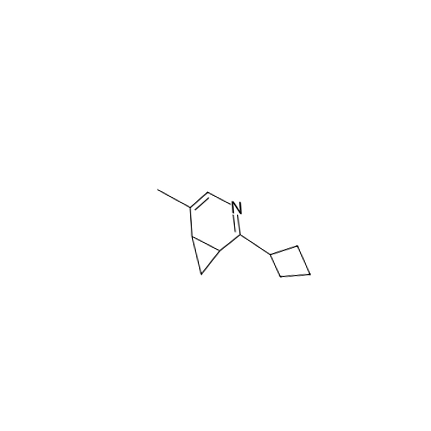 CC1=CN=C(C2CCC2)C2CC12